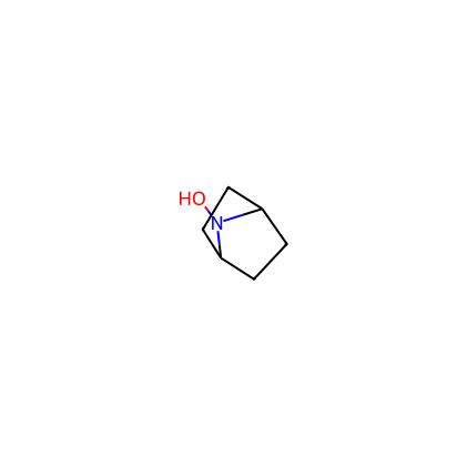 ON1C2CCC1CC2